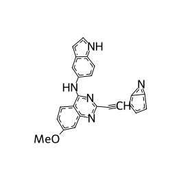 C#Cc1nc(Nc2ccc3[nH]ccc3c2)c2ccc(OC)cc2n1.c1cc2nc-2c1